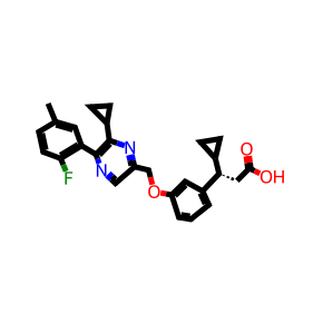 Cc1ccc(F)c(-c2ncc(COc3cccc([C@@H](CC(=O)O)C4CC4)c3)nc2C2CC2)c1